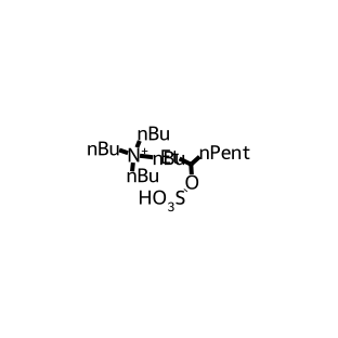 CCCCCC(CC)OS(=O)(=O)O.CCCC[N+](CCCC)(CCCC)CCCC